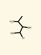 CCC(O)C(O)C(C)N